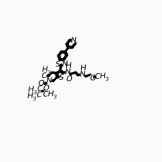 COCCNCCC(=O)Nc1sc2c(c1-c1nc3cc(-c4ccncc4)ccc3s1)CC(C)N(C(=O)OC(C)(C)C)C2